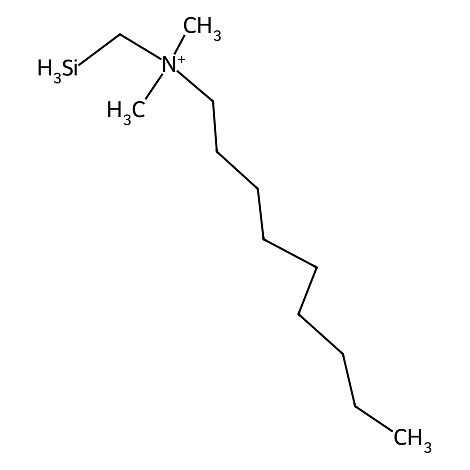 CCCCCCCCC[N+](C)(C)C[SiH3]